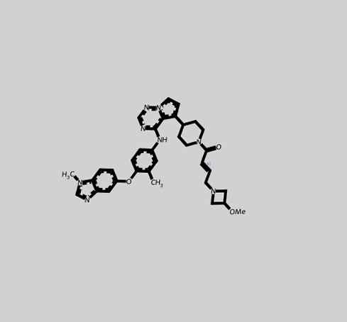 COC1CN(C/C=C/C(=O)N2CCC(c3ccn4ncnc(Nc5ccc(Oc6ccc7c(c6)ncn7C)c(C)c5)c34)CC2)C1